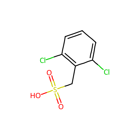 O=S(=O)(O)Cc1c(Cl)cccc1Cl